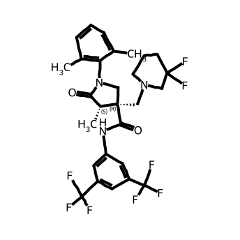 Cc1cccc(C)c1N1C[C@@](CN2CCCC(F)(F)C2)(C(=O)Nc2cc(C(F)(F)F)cc(C(F)(F)F)c2)[C@H](C)C1=O